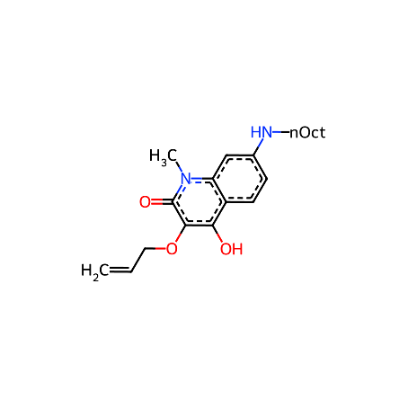 C=CCOc1c(O)c2ccc(NCCCCCCCC)cc2n(C)c1=O